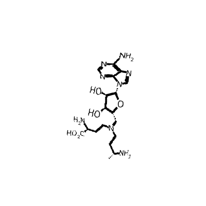 C[C@@H](N)CCN(CC[C@H](N)C(=O)O)C[C@H]1O[C@@H](n2cnc3c(N)ncnc32)[C@H](O)[C@@H]1O